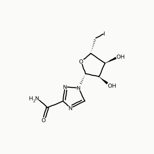 NC(=O)c1ncn([C@@H]2O[C@H](CI)[C@@H](O)[C@H]2O)n1